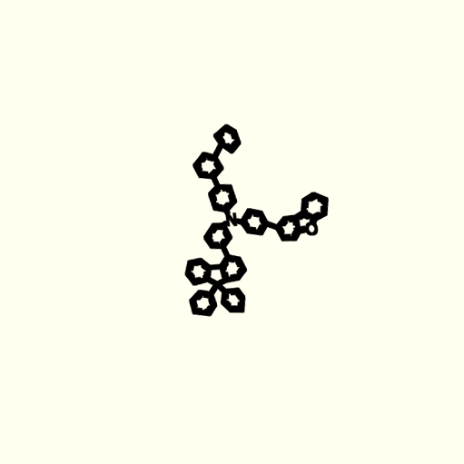 c1ccc(-c2cccc(-c3ccc(N(c4ccc(-c5ccc6oc7ccccc7c6c5)cc4)c4cccc(-c5cccc6c5-c5ccccc5C6(c5ccccc5)c5ccccc5)c4)cc3)c2)cc1